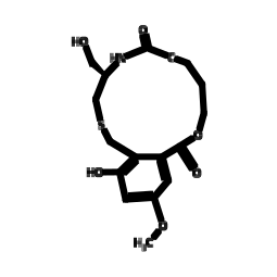 COc1cc(O)c2c(c1)C(=O)OCCCCC(=O)N[C@H](CO)CSC2